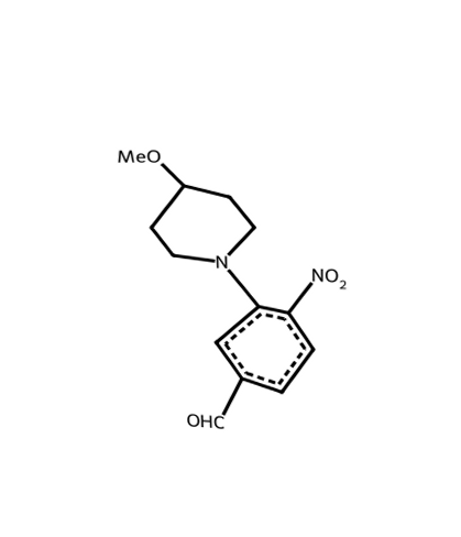 COC1CCN(c2cc(C=O)ccc2[N+](=O)[O-])CC1